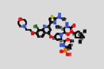 CC[C@@H]1C[C@]1(NC(=O)[C@@H]1C[C@@H](Oc2cc(-c3csc(NC(C)C)n3)nc3c(Cl)c(OCCN4CCOCC4)ccc23)CN1C(=O)[C@@H](NC(=O)O[C@@H]1C[C@@H]2C[C@@H]2C1)C(C)(C)C)[PH](=O)O